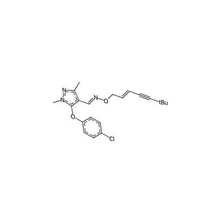 Cc1nn(C)c(Oc2ccc(Cl)cc2)c1C=NOCC=CC#CC(C)(C)C